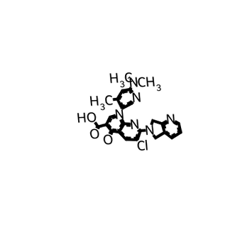 Cc1cc(N(C)C)ncc1-n1cc(C(=O)O)c(=O)c2cc(Cl)c(N3Cc4cccnc4C3)nc21